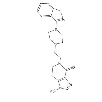 Cn1cnc2c1CCN(CCN1CCN(c3nsc4ccccc34)CC1)C2=O